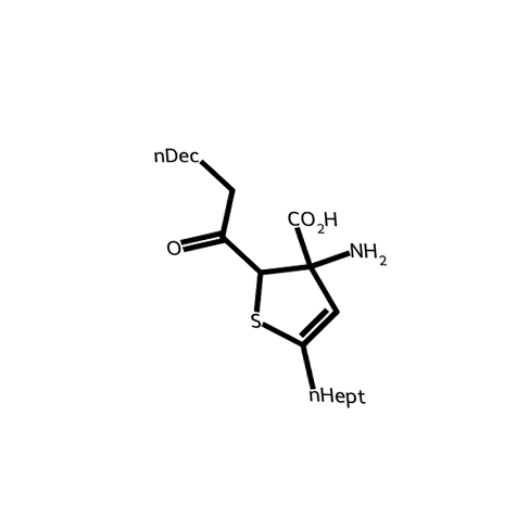 CCCCCCCCCCCC(=O)C1SC(CCCCCCC)=CC1(N)C(=O)O